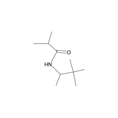 CC(C)C(=O)NC(C)C(C)(C)C